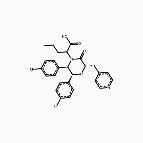 CCCC(C(=O)O)N1C(=O)[C@H](Cc2ccncc2)O[C@@H](c2ccc(Cl)cc2)[C@H]1c1ccc(Cl)cc1